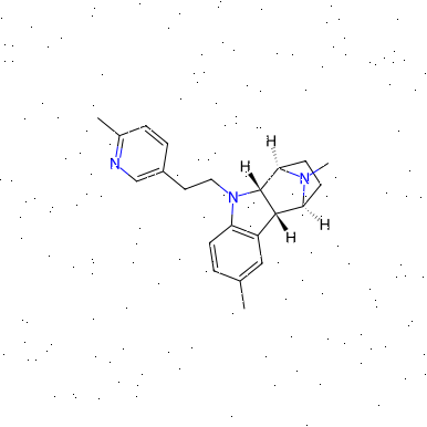 Cc1ccc2c(c1)[C@@H]1[C@@H]([C@H]3CC[C@@H]1N3C)N2CCc1ccc(C)nc1